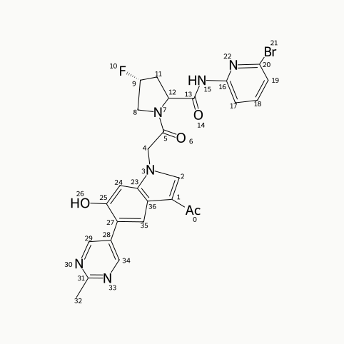 CC(=O)c1cn(CC(=O)N2C[C@H](F)CC2C(=O)Nc2cccc(Br)n2)c2cc(O)c(-c3cnc(C)nc3)cc12